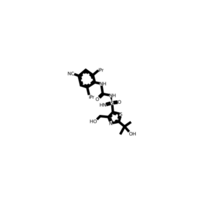 CC(C)c1cc(C#N)cc(C(C)C)c1NC(=O)N[S@@](=N)(=O)c1sc(C(C)(C)O)nc1CO